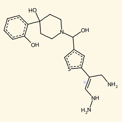 NC/C(=C\NN)c1cc(C(O)N2CCC(O)(c3ccccc3O)CC2)cs1